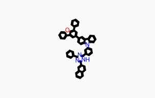 c1ccc(C2=NC(c3ccc4ccccc4c3)NC(c3cccc(-n4c5ccccc5c5cc(-c6cc(-c7ccccc7)c7oc8ccccc8c7c6)ccc54)c3)=N2)cc1